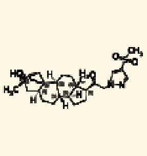 CC[C@]12CC[C@@](C)(O)C[C@@H]1CC[C@H]1[C@@H]3CC[C@H](C(=O)Cn4cc(S(C)(=O)=O)cn4)[C@@]3(C)CC[C@@H]12